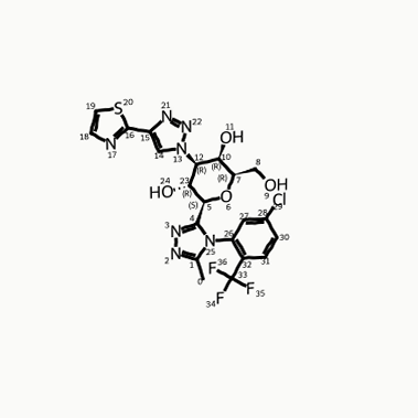 Cc1nnc([C@@H]2O[C@H](CO)[C@H](O)[C@H](n3cc(-c4nccs4)nn3)[C@H]2O)n1-c1cc(Cl)ccc1C(F)(F)F